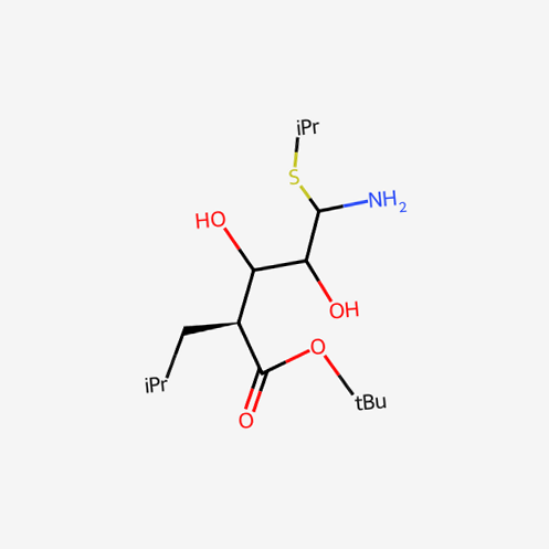 CC(C)C[C@H](C(=O)OC(C)(C)C)C(O)C(O)C(N)SC(C)C